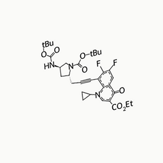 CCOC(=O)c1cn(C2CC2)c2c(C#CC[C@@H]3C[C@@H](NC(=O)OC(C)(C)C)CN3C(=O)OC(C)(C)C)c(F)c(F)cc2c1=O